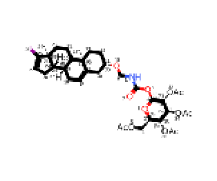 CC(=O)OC[C@H]1O[C@@H](OC(=O)NCO[C@H]2CC[C@@]3(C)C(=CC[C@@H]4C3CC[C@]3(C)C(I)=CC[C@@H]43)C2)[C@H](OC(C)=O)[C@@H](OC(C)=O)[C@@H]1OC(C)=O